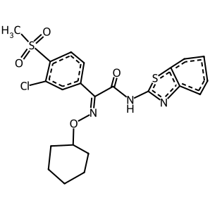 CS(=O)(=O)c1ccc(C(=NOC2CCCCC2)C(=O)Nc2nc3ccccc3s2)cc1Cl